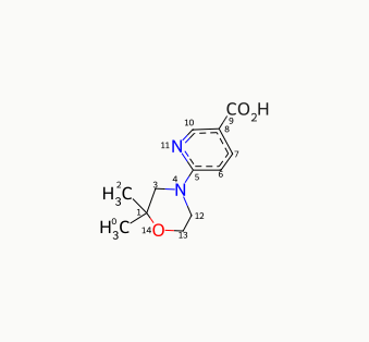 CC1(C)CN(c2ccc(C(=O)O)cn2)CCO1